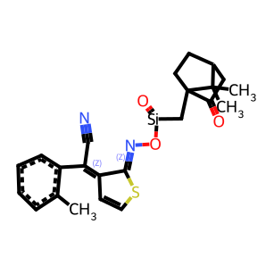 Cc1ccccc1/C(C#N)=C1\C=CS\C1=N/O[Si](=O)CC12CCC(CC1=O)C2(C)C